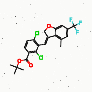 Cc1cc(C(F)(F)F)cc2c1C(=Cc1c(Cl)ccc(C(=O)OC(C)(C)C)c1Cl)CO2